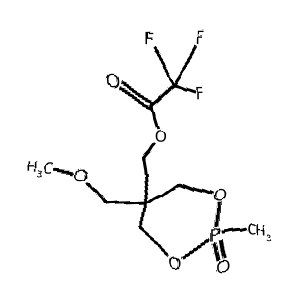 COCC1(COC(=O)C(F)(F)F)COP(C)(=O)OC1